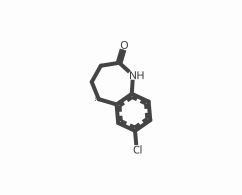 O=C1CC[C]c2cc(Cl)ccc2N1